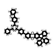 c1ccc(-c2nc(-c3ccc(-c4ccc5c(c4)Oc4cc6c(cc4O5)C(c4ccccc4)(c4ccccc4)c4ccccc4-6)cc3)nc(-c3ccc4c(c3)sc3ccccc34)n2)cc1